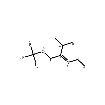 CC/N=C(/COC(F)(F)F)C(C)C